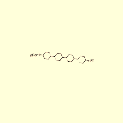 CCCCC[C@H]1CC[C@H]([C@H]2CC[C@H]([C@H]3CC[C@H]([C@H]4CC[C@H](CCC)CC4)CC3)CC2)CC1